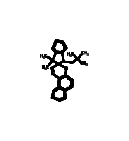 CC(C)(C)CN1c2ccccc2C(C)(C)C12C=Nc1c(ccc3ccccc13)O2